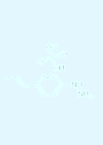 CC=Cc1ccc(NN)cc1.O=S(=O)(O)O